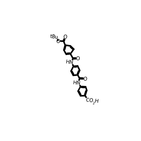 CC(C)(C)OC(=O)c1ccc(C(=O)Nc2ccc(C(=O)Nc3ccc(C(=O)O)cc3)cc2)cc1